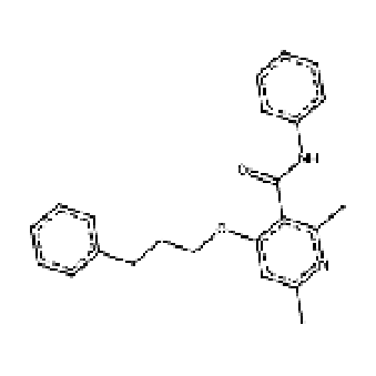 Cc1cc(OCCCc2ccccc2)c(C(=O)Nc2ccccc2)c(C)n1